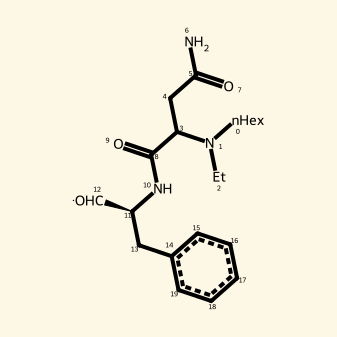 CCCCCCN(CC)C(CC(N)=O)C(=O)N[C@H]([C]=O)Cc1ccccc1